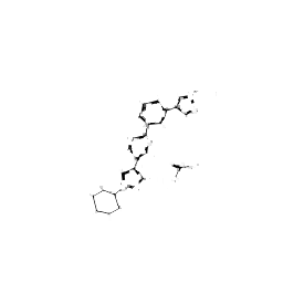 Cn1cc(-c2cccc(-c3ncc(-c4cnn(C5CCCCC5)c4)cn3)c2)cn1.NC(=O)O